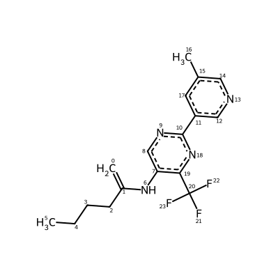 C=C(CCCC)Nc1cnc(-c2cncc(C)c2)nc1C(F)(F)F